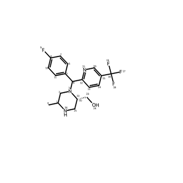 CC1CN(C(c2ccc(F)cc2)c2ccc(C(F)(F)F)cn2)[C@H](CO)CN1